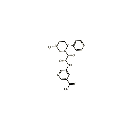 C[C@@H]1CC[C@@H](c2ccncc2)N(C(=O)C(=O)Nc2cncc(C(N)=O)c2)C1